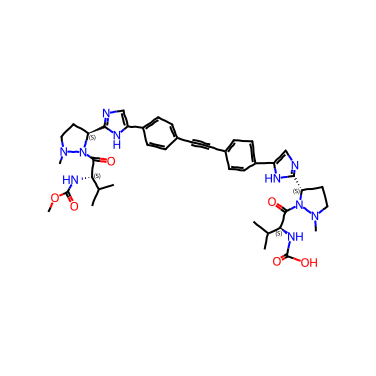 COC(=O)N[C@H](C(=O)N1[C@H](c2ncc(-c3ccc(C#Cc4ccc(-c5cnc([C@@H]6CCN(C)N6C(=O)[C@@H](NC(=O)O)C(C)C)[nH]5)cc4)cc3)[nH]2)CCN1C)C(C)C